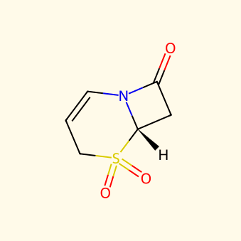 O=C1C[C@H]2N1C=CCS2(=O)=O